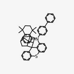 CC1(C)CCC(C)(C)c2c(N(c3ccc(-c4ccccc4)cc3)c3cccc4c3C3(c5ccccc5S4)C4CC5CC6CC3C64C5)cccc21